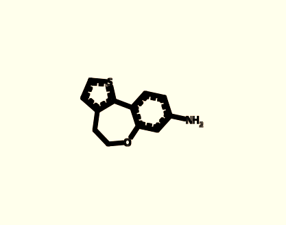 Nc1ccc2c(c1)OCCc1ccsc1-2